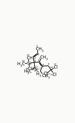 CC=CC(C(C)=C(CC)CC(Cl)(Cl)Cl)(C(C)C)[Si](C)(C)C